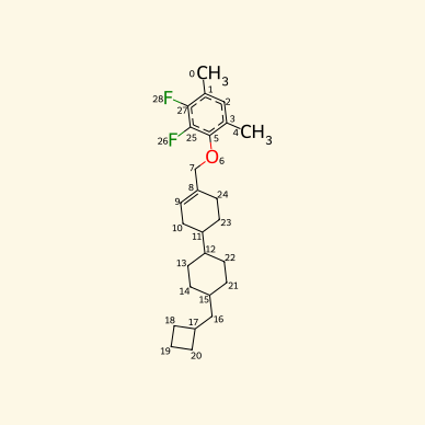 Cc1cc(C)c(OCC2=CCC(C3CCC(CC4CCC4)CC3)CC2)c(F)c1F